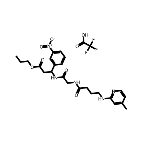 CCCOC(=O)CC(NC(=O)CNC(=O)CCCNc1cc(C)ccn1)c1cccc([N+](=O)[O-])c1.O=C(O)C(F)(F)F